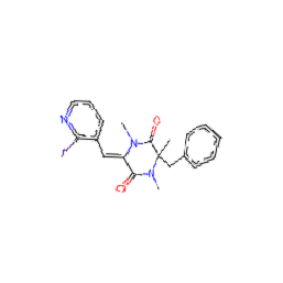 CN1C(=O)C(C)(Cc2ccccc2)N(C)C(=O)/C1=C/c1cccnc1I